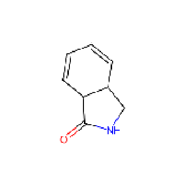 O=C1NCC2C=[C]C=CC12